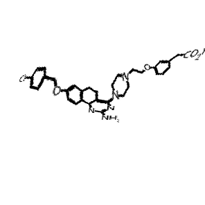 Nc1nc2c(c(N3CCN(CCOc4cccc(CC(=O)O)c4)CC3)n1)CCc1cc(OCc3ccc(Cl)cc3)ccc1-2